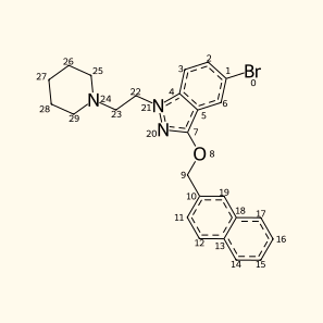 Brc1ccc2c(c1)c(OCc1ccc3ccccc3c1)nn2CCN1CCCCC1